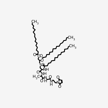 CCCCCCCCCCCCCCCC(=O)NC(CSCC(COC(=O)CCCCCCCCCCCCCCC)OC(=O)CCCCCCCCCCCCCCC)C(=O)NC(C)C(=O)NCC(=O)NCCN1C(=O)C=CC1=O